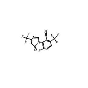 N#Cc1c(C(F)(F)F)ccc(F)c1-n1cnc(C(F)(F)F)cc1=O